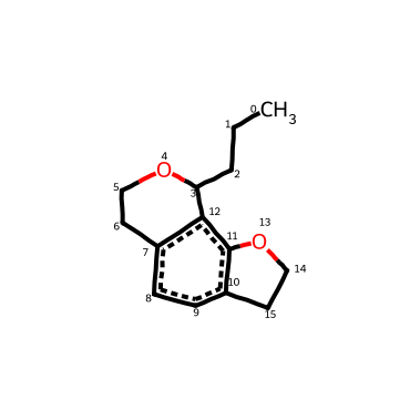 CCCC1OCCc2ccc3c(c21)OCC3